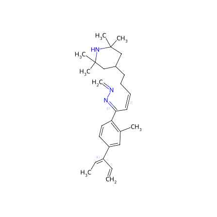 C=C/C(=C\C)c1ccc(C(/C=C\CCC2CC(C)(C)NC(C)(C)C2)=N/N=C)c(C)c1